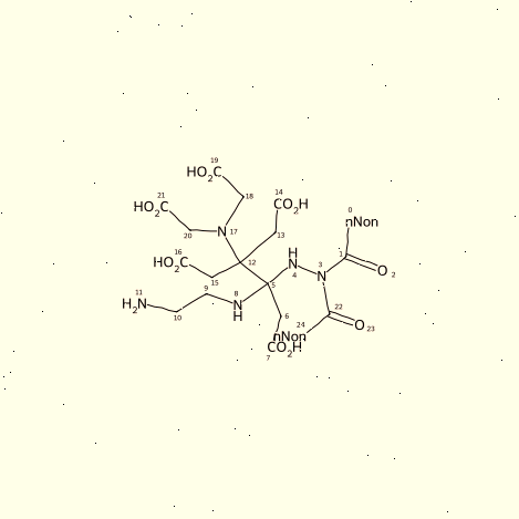 CCCCCCCCCC(=O)N(NC(CC(=O)O)(NCCN)C(CC(=O)O)(CC(=O)O)N(CC(=O)O)CC(=O)O)C(=O)CCCCCCCCC